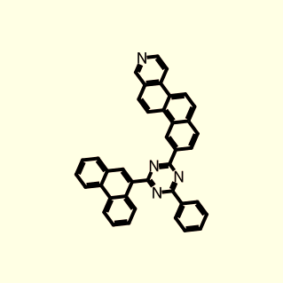 c1ccc(-c2nc(-c3ccc4ccc5c6ccncc6ccc5c4c3)nc(-c3cc4ccccc4c4ccccc34)n2)cc1